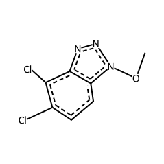 COn1nnc2c(Cl)c(Cl)ccc21